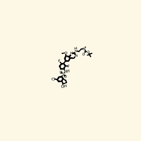 COc1cc(-c2c(F)ccc(NS(=O)(=O)c3cc(Cl)cc4c3CC[C@H]4O)c2F)cc2cnc(NCCN(C)C(=O)OC(C)(C)C)nc12